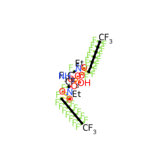 CCN(C(F)(OP(=O)(O)OC(F)(N(CC)S(=O)(=O)C(F)(F)C(F)(F)C(F)(F)C(F)(F)C(F)(F)C(F)(F)C(F)(F)C(F)(F)F)C(F)(F)F)C(F)(F)F)S(=O)(=O)C(F)(F)C(F)(F)C(F)(F)C(F)(F)C(F)(F)C(F)(F)C(F)(F)C(F)(F)F.N